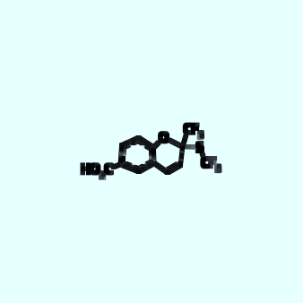 O=C(O)c1ccc2c(c1)C=CC(SC(F)(F)F)(C(F)(F)F)O2